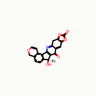 CC[C@@]1(O)C2=C(N=C3Cc4oc(=O)oc4C=C3C2=O)c2c1ccc1c2C=COC1